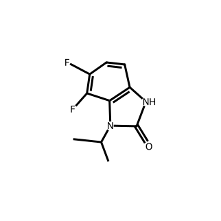 CC(C)n1c(=O)[nH]c2ccc(F)c(F)c21